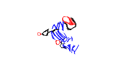 COc1ccc(-c2nc(NC(=O)C3CCCNC3)nc3c2ncn3C2CCCCO2)cc1